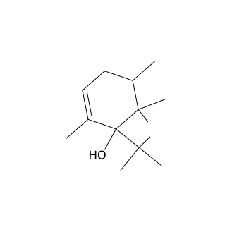 CC1=CCC(C)C(C)(C)C1(O)C(C)(C)C